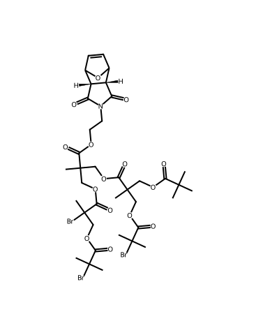 CC(C)(C)C(=O)OCC(C)(COC(=O)C(C)(C)Br)C(=O)OCC(C)(COC(=O)C(C)(Br)COC(=O)C(C)(C)Br)C(=O)OCCN1C(=O)[C@@H]2C3C=CC(O3)[C@@H]2C1=O